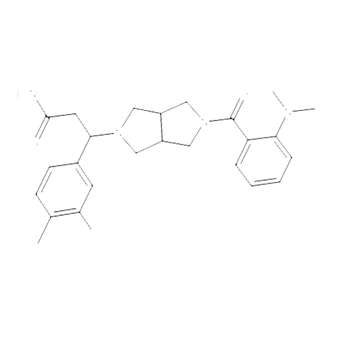 Cc1ccc(C(CC(N)=O)N2CC3CN(C(=O)c4ccccc4N(C)C)CC3C2)cc1Cl